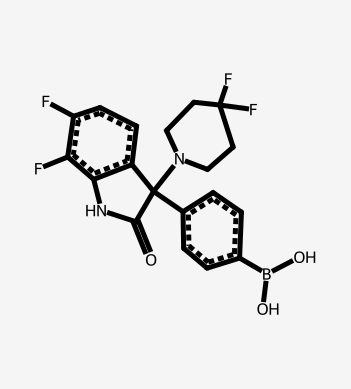 O=C1Nc2c(ccc(F)c2F)C1(c1ccc(B(O)O)cc1)N1CCC(F)(F)CC1